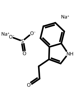 O=CCc1c[nH]c2ccccc12.O=S([O-])[O-].[Na+].[Na+]